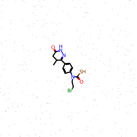 CC1CC(=O)NN=C1c1ccc(N(CCBr)C(=O)S)cc1